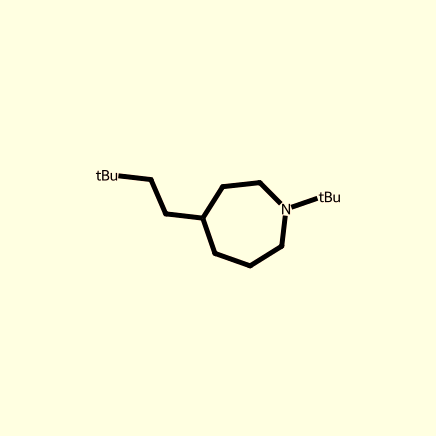 CC(C)(C)CCC1CCCN(C(C)(C)C)CC1